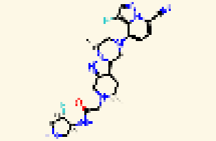 C[C@@H]1CN(c2ccc(C#N)n3ncc(F)c23)Cc2c3c(nn21)CN(CC(=O)N[C@H]1CNC[C@H]1F)[C@@H](C)C3